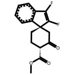 COC(=O)[C@@H]1CC[C@]2(CC1=O)C(F)=C(F)c1ccccc12